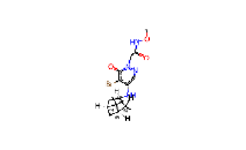 CONC(=O)Cn1ncc(N[C@@H]2C[C@@H]3C[C@H]([C@H]2C)C3(C)C)c(Br)c1=O